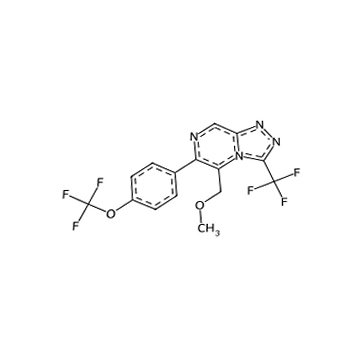 COCc1c(-c2ccc(OC(F)(F)F)cc2)ncc2nnc(C(F)(F)F)n12